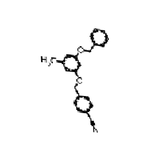 [CH2]c1cc(OCc2ccccc2)cc(OCc2ccc(C#N)cc2)c1